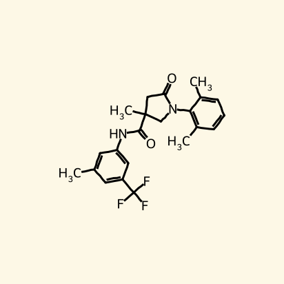 Cc1cc(NC(=O)C2(C)CC(=O)N(c3c(C)cccc3C)C2)cc(C(F)(F)F)c1